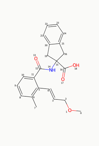 COCC=Cc1c(C)cccc1C(=O)NC1(C(=O)O)Cc2ccccc2C1